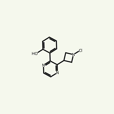 Oc1ccccc1-c1nccnc1C1CN(Cl)C1